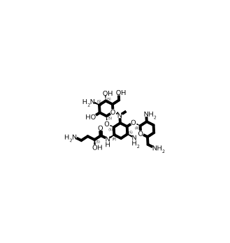 CN(C)C1C(O[C@H]2OC(CN)CCC2N)[C@@H](N)C[C@@H](NC(=O)[C@@H](O)CCN)[C@@H]1O[C@H]1OC(CO)[C@@H](O)[C@H](N)C1O